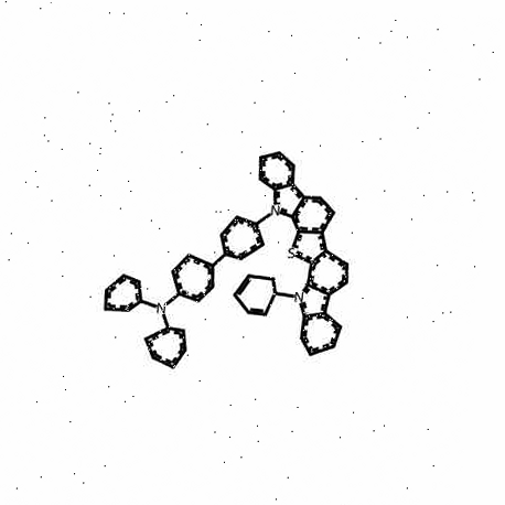 C1=CCC(n2c3ccccc3c3ccc4c5ccc6c7ccccc7n(-c7ccc(-c8ccc(N(c9ccccc9)c9ccccc9)cc8)cc7)c6c5sc4c32)C=C1